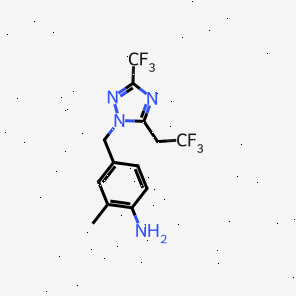 Cc1cc(Cn2nc(C(F)(F)F)nc2CC(F)(F)F)ccc1N